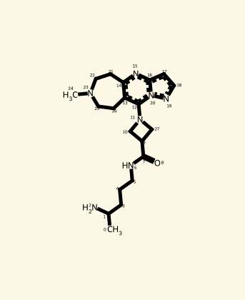 CC(N)CCCNC(=O)C1CN(c2c3c(nc4ccnn24)CCN(C)CC3)C1